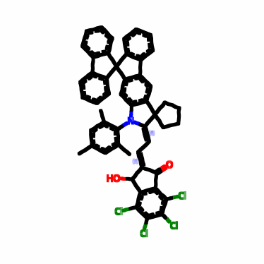 Cc1cc(C)c(N2/C(=C\C=C3/C(=O)c4c(Cl)c(Cl)c(Cl)c(Cl)c4C3O)C3(CCCC3)c3cc4c(cc32)C2(c3ccccc3-c3ccccc32)c2ccccc2-4)c(C)c1